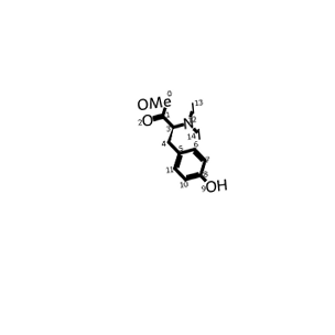 COC(=O)[C@H](Cc1ccc(O)cc1)N(I)I